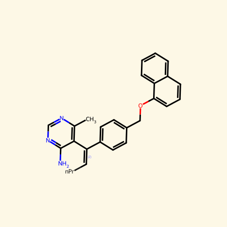 CCC/C=C(/c1ccc(COc2cccc3ccccc23)cc1)c1c(C)ncnc1N